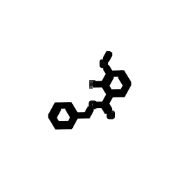 COc1cccc(C(=O)OCc2ccccc2)c1F